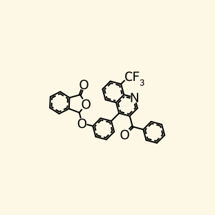 O=C1OC(Oc2cccc(-c3c(C(=O)c4ccccc4)cnc4c(C(F)(F)F)cccc34)c2)c2ccccc21